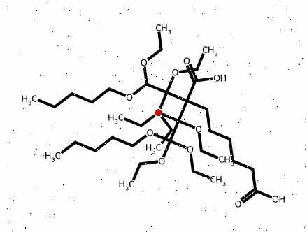 CCCCCOC(OCC)C(OCC)(OCC)C(CCCCCC(=O)O)(C(=O)O)C(OCC)(OCC)C(OCC)(OCC)OCCCCC